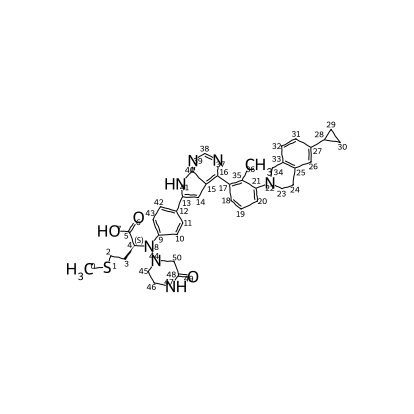 CSCC[C@@H](C(=O)O)N(c1ccc(-c2cc3c(-c4cccc(N5CCc6cc(C7CC7)ccc6C5)c4C)ncnc3[nH]2)cc1)N1CCNC(=O)C1